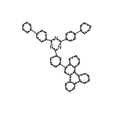 c1ccc(-c2ccc(-c3nc(-c4ccc(-c5ccccc5)cc4)nc(-c4cccc(-c5cc6c7ccccc7c7ccccc7c6c6ccccc56)c4)n3)cc2)cc1